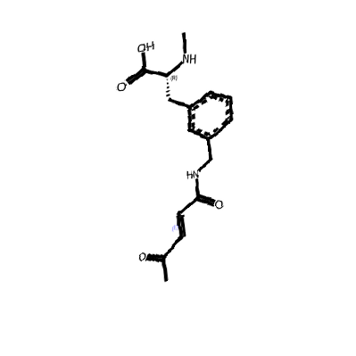 CN[C@H](Cc1cccc(CNC(=O)/C=C/C(C)=O)c1)C(=O)O